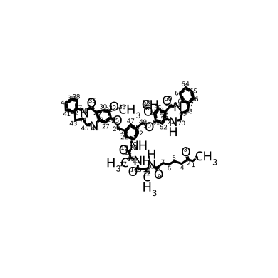 CCC(=O)CCCCC(=O)NC(C)C(=O)NC(C)C(=O)Nc1cc(COc2cc3c(cc2OC)C(=O)N2c4ccccc4CC2C=N3)cc(COc2cc3c(cc2OC)C(=O)N2c4ccccc4CC2CN3)c1